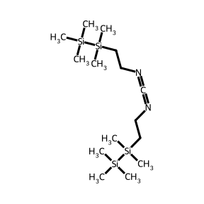 C[Si](C)(C)[Si](C)(C)CCN=C=NCC[Si](C)(C)[Si](C)(C)C